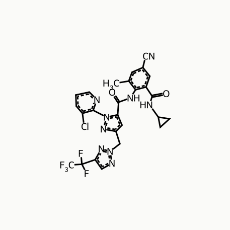 Cc1cc(C#N)cc(C(=O)NC2CC2)c1NC(=O)c1cc(Cn2ncc(C(F)(F)C(F)(F)F)n2)nn1-c1ncccc1Cl